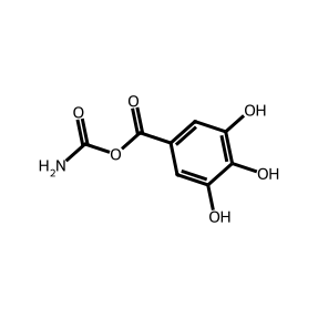 NC(=O)OC(=O)c1cc(O)c(O)c(O)c1